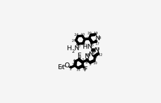 CCOCc1cc(F)c(-c2ccc3cnc(Nc4cnccc4C4CCC[C@H](N)C4)n3n2)c(F)c1